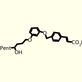 CCCCCC(O)CCCOc1cccc(OCc2ccc(C=CC(=O)O)cc2)c1